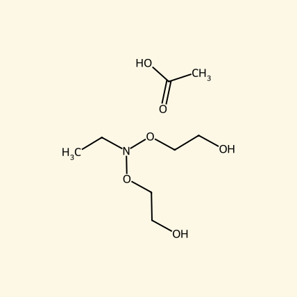 CC(=O)O.CCN(OCCO)OCCO